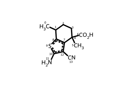 CC1CCC(C)(C(=O)O)c2c1sc(N)c2C#N